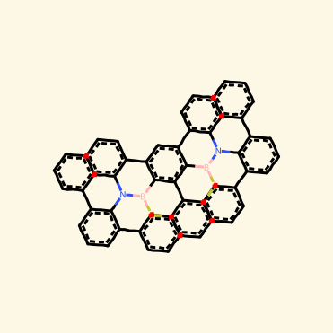 c1ccc(-c2cccc(-c3ccccc3)c2N2B3Sc4cccc5c4-c4c3c(cc3c4B(S5)N(c4c(-c5ccccc5)cccc4-c4ccccc4)c4ccccc4-3)-c3ccccc32)cc1